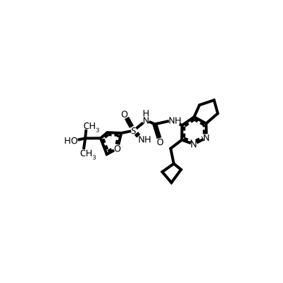 CC(C)(O)c1coc(S(=N)(=O)NC(=O)Nc2c(CC3CCC3)nnc3c2CCC3)c1